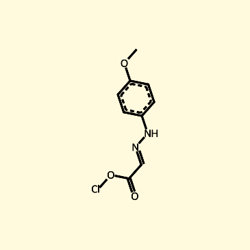 COc1ccc(NN=CC(=O)OCl)cc1